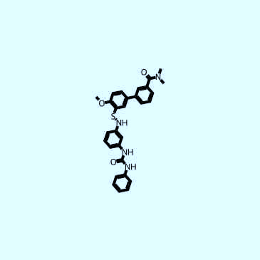 COc1ccc(-c2cccc(C(=O)N(C)C)c2)cc1SNc1cccc(NC(=O)Nc2ccccc2)c1